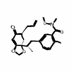 C=CC[C@H]1C[C@]2([C@@H](C)Cc3ccc(C)c(C(=O)N(C)OC)c3)OCOC2=CC1=O